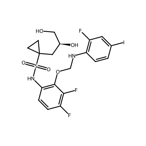 O=S(=O)(Nc1ccc(F)c(F)c1OCNc1ccc(I)cc1F)C1(C[C@H](O)CO)CC1